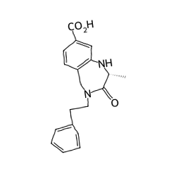 C[C@H]1Nc2cc(C(=O)O)ccc2CN(CCc2ccccc2)C1=O